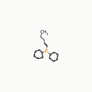 CCCC=CP(c1ccccc1)c1ccccc1